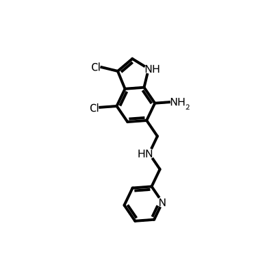 Nc1c(CNCc2ccccn2)cc(Cl)c2c(Cl)c[nH]c12